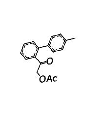 CC(=O)OCC(=O)c1ccccc1-c1ccc(C)cc1